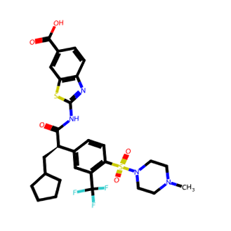 CN1CCN(S(=O)(=O)c2ccc([C@@H](CC3CCCC3)C(=O)Nc3nc4ccc(C(=O)O)cc4s3)cc2C(F)(F)F)CC1